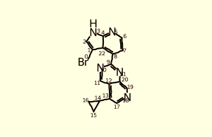 Brc1c[nH]c2nccc(-c3ncc4c(C5CC5)cncc4n3)c12